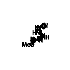 COc1cncc(-c2cnc3[nH]nc(-c4cc5c(N6CCN(C)CC6)cncc5[nH]4)c3c2)c1